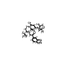 O=C(CN1c2nc(N3C[C@@H]4C[C@H]3CO4)cc(=O)n2CC[C@H]1C(F)(F)F)c1ccc2nsnc2c1